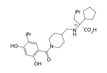 CC(C)C[C@@](NCC1CCN(C(=O)c2cc(C(C)C)c(O)cc2O)CC1)(C(=O)O)C1CCCC1